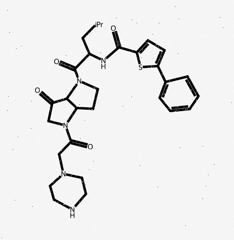 CC(C)CC(NC(=O)c1ccc(-c2ccccc2)s1)C(=O)N1CCC2C1C(=O)CN2C(=O)CN1CCNCC1